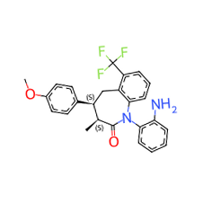 COc1ccc([C@H]2Cc3c(cccc3C(F)(F)F)N(c3ccccc3N)C(=O)[C@H]2C)cc1